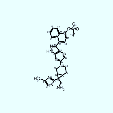 Cc1csc(C2(CN)C3CCN(c4cnc5c(-c6ccc(OS(=O)(=O)F)c7ccccc67)n[nH]c5n4)CC32)n1